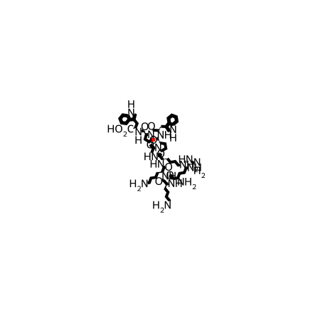 N=C(N)NCCC[C@H](N)C(=O)N[C@@H](CCCCN)C(=O)N[C@@H](CCCCN)C(=O)N[C@@H](CCCCN)C(=O)NCC(=O)N1CCC[C@H]1C(=O)N[C@@H](Cc1c[nH]c2ccccc12)C(=O)N1CCC[C@H]1C(=O)N[C@@H](Cc1c[nH]c2ccccc12)C(=O)O